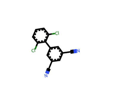 N#Cc1cc(C#N)cc(-c2c(Cl)cccc2Cl)c1